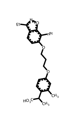 CCCc1c(OCCCOc2ccc(C(C)C(=O)O)c(C)c2)ccc2c(CC)noc12